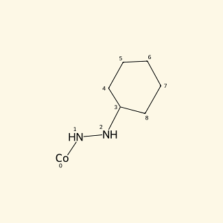 [Co][NH]NC1CCCCC1